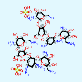 NC[C@@H]1O[C@H](O[C@H]2[C@@H](O)[C@H](O[C@@H]3[C@@H](O)[C@H](N)C[C@H](N)[C@H]3O[C@H]3O[C@H](CN)[C@@H](O)[C@H](O)[C@H]3N)O[C@@H]2CO)[C@H](N)[C@@H](O)[C@@H]1O.NC[C@@H]1O[C@H](O[C@H]2[C@@H](O)[C@H](O[C@@H]3[C@@H](O)[C@H](N)C[C@H](N)[C@H]3O[C@H]3O[C@H](CN)[C@@H](O)[C@H](O)[C@H]3N)O[C@@H]2CO)[C@H](N)[C@@H](O)[C@@H]1O.O=S(=O)(O)O.O=S(=O)(O)O